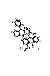 COc1ccc2c(c1N(C)c1ccccc1)CC(C(=O)O)N(C(=O)C(c1ccccc1)c1ccccc1)C2